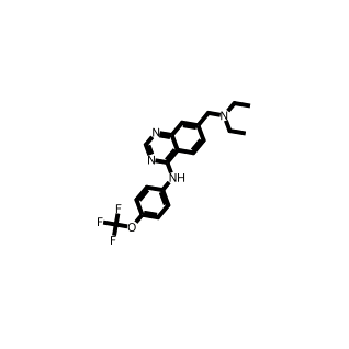 CCN(CC)Cc1ccc2c(Nc3ccc(OC(F)(F)F)cc3)ncnc2c1